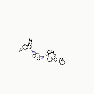 COc1cc(OCc2ccccn2)ccc1/C=C/C(=O)CC(=O)/C=C/c1c[nH]c2ccc(F)cc12